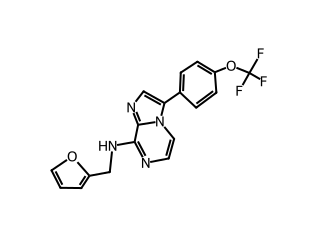 FC(F)(F)Oc1ccc(-c2cnc3c(NCc4ccco4)nccn23)cc1